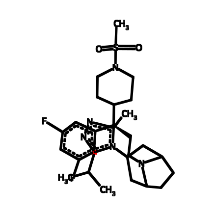 Cc1nnc(C(C)C)n1C1CC2CCC(C1)N2CC[C@@H](c1cc(F)cc(F)c1)C1CCN(S(C)(=O)=O)CC1